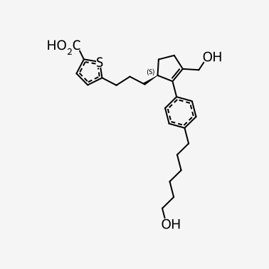 O=C(O)c1ccc(CCC[C@H]2CCC(CO)=C2c2ccc(CCCCCCO)cc2)s1